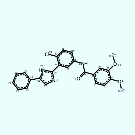 CCOc1ccc(C(=O)Nc2ccc(Cl)c(-c3ncc(-c4ccccc4)[nH]3)c2)cc1OCC